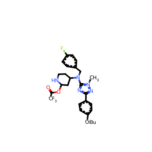 CC(C)COc1ccc(-c2nc(N(Cc3ccc(F)cc3)C3CCNC(OC(=O)C(F)(F)F)C3)n(C)n2)cc1